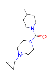 CC1CCN(C(=O)N2CCN(C3CC3)CC2)CC1